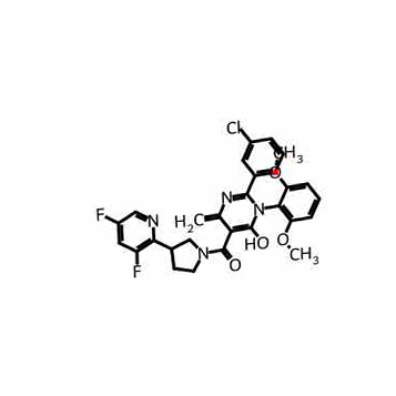 C=C1N=C(c2cccc(Cl)c2)N(c2c(OC)cccc2OC)C(O)=C1C(=O)N1CCC(c2ncc(F)cc2F)C1